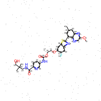 COc1cnc2c(-c3nc4cc(F)c(OC[C@@H](C)OC(=O)Nc5ccc(C(=O)NCC(C)(C)CO)nc5)cc4s3)cc(C)cc2n1